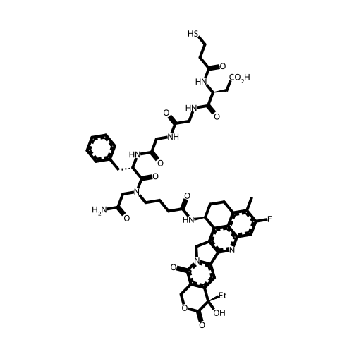 CC[C@@]1(O)C(=O)OCc2c1cc1n(c2=O)Cc2c-1nc1cc(F)c(C)c3c1c2[C@@H](NC(=O)CCCN(CC(N)=O)C(=O)[C@H](Cc1ccccc1)NC(=O)CNC(=O)CNC(=O)[C@H](CC(=O)O)NC(=O)CCS)CC3